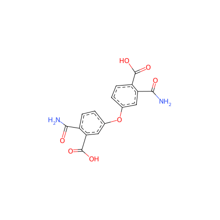 NC(=O)c1cc(Oc2ccc(C(N)=O)c(C(=O)O)c2)ccc1C(=O)O